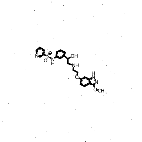 COc1n[nH]c2cc(OCCNCC(O)c3cccc(NS(=O)(=O)c4cccnc4)c3)ccc12